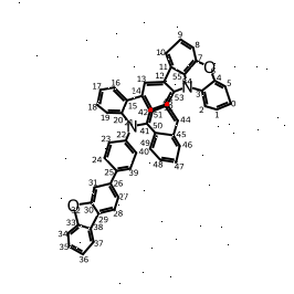 c1ccc2c(c1)Oc1cccc3c4cc(-c5ccccc5N(c5ccc(-c6ccc7c(c6)oc6ccccc67)cc5)c5cccc6ccccc56)ccc4n-2c13